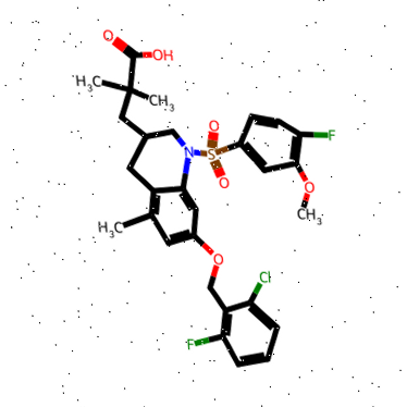 COc1cc(S(=O)(=O)N2CC(CC(C)(C)C(=O)O)Cc3c(C)cc(OCc4c(F)cccc4Cl)cc32)ccc1F